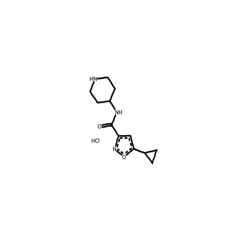 Cl.O=C(NC1CCNCC1)c1cc(C2CC2)on1